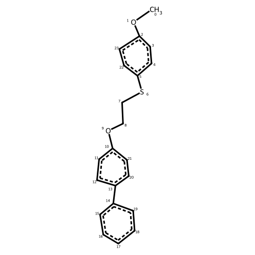 COc1ccc(SCCOc2ccc(-c3ccccc3)cc2)cc1